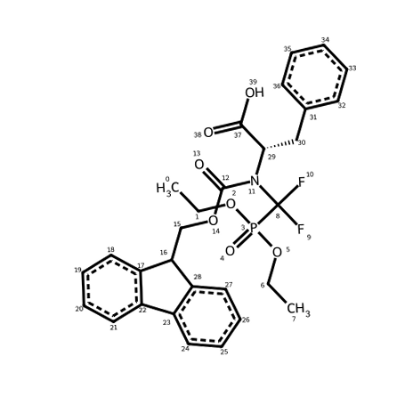 CCOP(=O)(OCC)C(F)(F)N(C(=O)OCC1c2ccccc2-c2ccccc21)[C@@H](Cc1ccccc1)C(=O)O